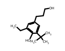 CCc1cc(CCCO)cc(C(C)(C)C)c1O